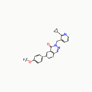 O=c1c2cc(-c3ccc(OC(F)(F)F)cc3)ccc2cnn1Cc1cccnc1C1CC1